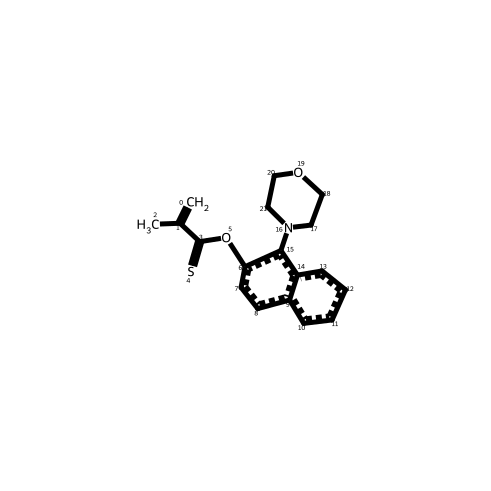 C=C(C)C(=S)Oc1ccc2ccccc2c1N1CCOCC1